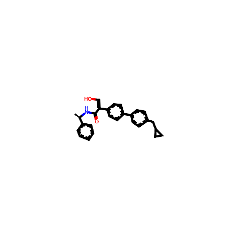 C[C@@H](NC(=O)C(=CO)c1ccc(-c2ccc(CC3CC3)cc2)cc1)c1ccccc1